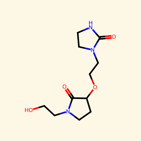 O=C1NCCN1CCOC1CCN(CCO)C1=O